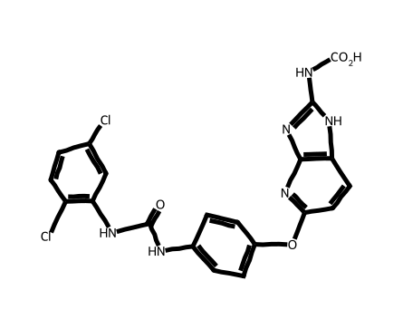 O=C(O)Nc1nc2nc(Oc3ccc(NC(=O)Nc4cc(Cl)ccc4Cl)cc3)ccc2[nH]1